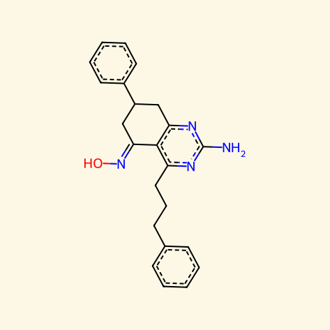 Nc1nc(CCCc2ccccc2)c2c(n1)CC(c1ccccc1)C/C2=N\O